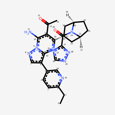 CCc1ccc(-c2cnn3c(N)c(C(C)=O)c([C@@H]4C[C@H]5CC[C@@H](C4)N5C(=O)c4nnc[nH]4)nc23)cn1